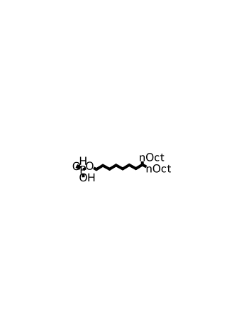 CCCCCCCCC(CCCCCCCC)CCCCCCCO[PH](=O)O